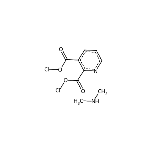 CNC.O=C(OCl)c1cccnc1C(=O)OCl